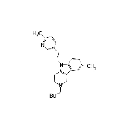 CCC(C)CN1CCc2c(c3cc(C)ccc3n2CCc2ccc(C)nc2)C1